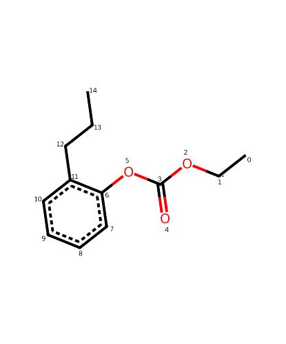 C[CH]OC(=O)Oc1ccccc1CCC